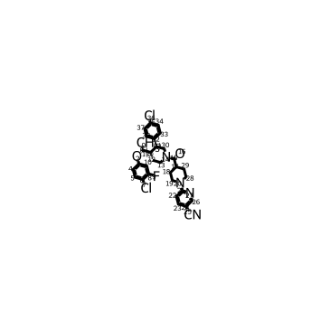 C[C@H](Oc1ccc(Cl)c(F)c1)[C@H]1CCN(C(=O)C2CCN(c3ccc(C#N)cn3)CC2)C[C@@H]1c1ccc(Cl)cc1